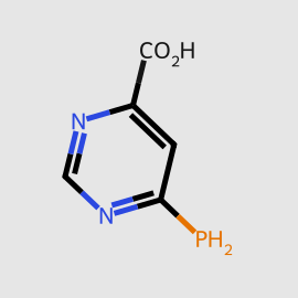 O=C(O)c1cc(P)ncn1